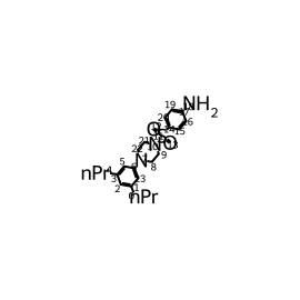 CCCc1cc(CCC)cc(N2CCN(S(=O)(=O)c3ccc(N)cc3)CC2)c1